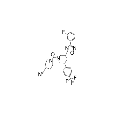 N#CC1CCN(C(=O)N2CC(c3ccc(C(F)(F)F)cc3)CC(c3nc(-c4cccc(F)c4)no3)C2)CC1